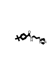 CC(C)(C)c1ccc(C(=O)NCCCn2cncn2)cc1